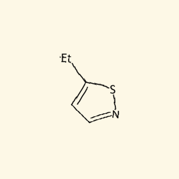 C[CH]c1ccns1